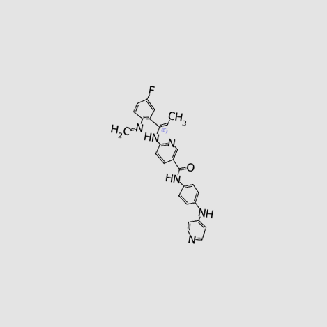 C=Nc1ccc(F)cc1/C(=C\C)Nc1ccc(C(=O)Nc2ccc(Nc3ccncc3)cc2)cn1